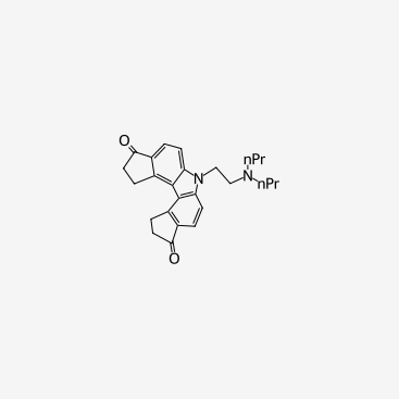 CCCN(CCC)CCn1c2ccc3c(c2c2c4c(ccc21)C(=O)CC4)CCC3=O